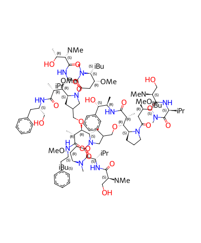 CC[C@H](C)[C@@H]([C@@H](CC(=O)N1CC(CO[C@H]([C@@H](C)C(=O)N[C@H](C)[C@@H](O)c2ccccc2)[C@@H]2CCCN2C(=O)C[C@@H](OC)[C@H]([C@@H](C)CC)N(C)C(=O)[C@@H](NC(=O)[C@H](CO)NC)C(C)C)C[C@H]1[C@H](OCC1C[C@@H]([C@H](OC)[C@@H](C)C(=O)N[C@H](CO)Cc2ccccc2)N(C(=O)C[C@@H](OC)[C@H]([C@@H](C)CC)N(C)C(=O)[C@@H](NC(=O)[C@@H](NC)[C@@H](C)O)C(C)C)C1)[C@@H](C)C(=O)NCCc1ccccc1)OC)N(C)C(=O)[C@@H](NC(=O)[C@H](CO)NC)C(C)C